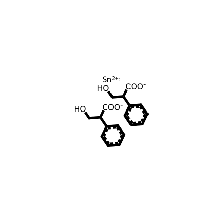 O=C([O-])C(CO)c1ccccc1.O=C([O-])C(CO)c1ccccc1.[Sn+2]